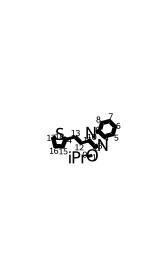 CC(C)Oc1nc2ccccc2nc1/C=C/c1cccs1